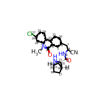 Cn1c(=O)c2cc(CC(C#N)NC(=O)[C@H]3N[C@@H]4CC[C@H]3C4)ccc2c2ccc(Cl)cc21